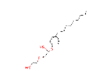 CCCCCCCCCc1ccc(OC(O)COCCO)cc1